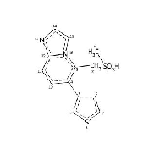 CS(=O)(=O)O.Cc1c(-c2ccsc2)ccc2nccn12